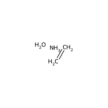 C=C.N.O